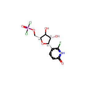 O=c1ccc([C@@H]2O[C@H](COP(=O)(Cl)Cl)C(O)[C@@H]2O)c(F)[nH]1